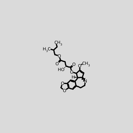 CCC(C)COC(=O)C[C@@H](O)C(=O)OC1C(OC)=CC23CCCN2CCc2cc4c(cc2[C@H]13)OCO4